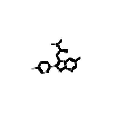 Cc1ccc(-c2nc3ncc(C)cn3c2CC(=O)N(C)C)cc1